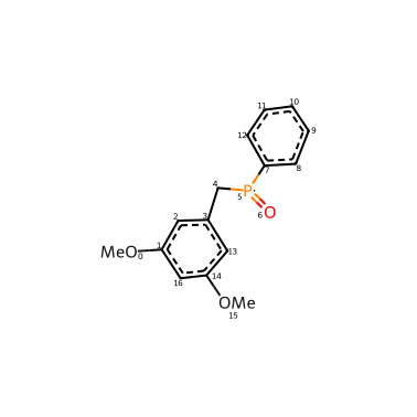 COc1cc(C[P](=O)c2ccccc2)cc(OC)c1